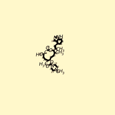 C/C(=C\c1cccc2[nH]ncc12)[C@H]1OC(=O)C[C@H](O)CC[C@H](C)[C@@H](OC(=O)N2CCN(C)CC2)/C=C/[C@@H]1C